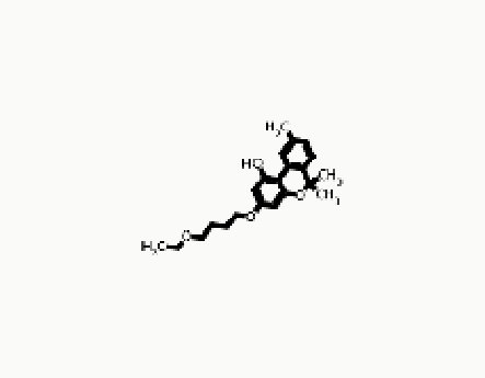 CCOCCCCOc1cc(O)c2c(c1)OC(C)(C)c1ccc(C)cc1-2